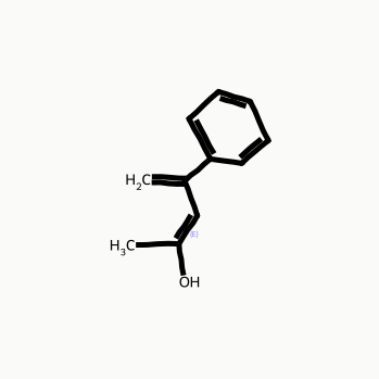 C=C(/C=C(\C)O)c1ccccc1